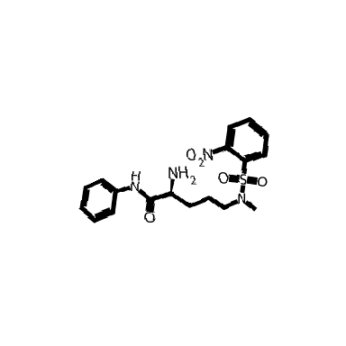 CN(CCC[C@H](N)C(=O)Nc1ccccc1)S(=O)(=O)c1ccccc1[N+](=O)[O-]